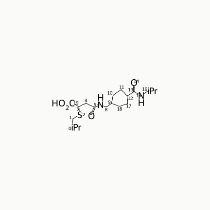 CC(C)CSC(CC(=O)NCC1CCC(C(=O)NC(C)C)CC1)C(=O)O